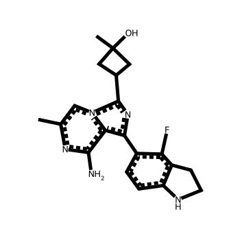 Cc1cn2c(C3CC(C)(O)C3)nc(-c3ccc4c(c3F)CCN4)c2c(N)n1